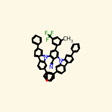 Cc1cc(-c2cc(-n3c4cc(-c5ccccc5)ccc4c4ccc(-c5ccccc5)cc43)c(C#N)c(-n3c4cc(-c5ccccc5)ccc4c4ccc(-c5ccccc5)cc43)c2)cc(C(F)(F)F)c1